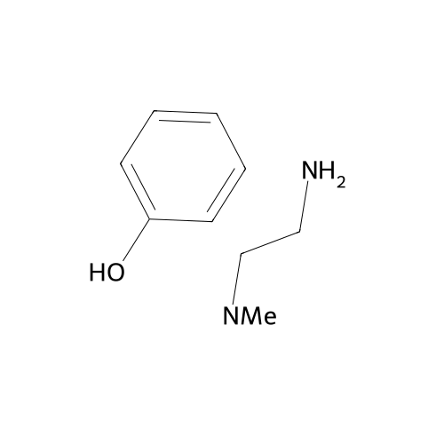 CNCCN.Oc1ccccc1